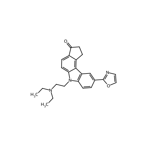 CCN(CC)CCn1c2ccc(-c3ncco3)cc2c2c3c(ccc21)C(=O)CC3